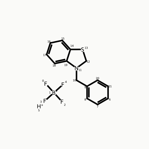 F[B-](F)(F)F.[H+].c1ccc(CN2CSc3ccccc32)cc1